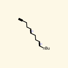 C#CCC/C=C/CC/C=C/CCCC